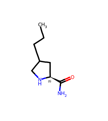 CCCC1CN[C@H](C(N)=O)C1